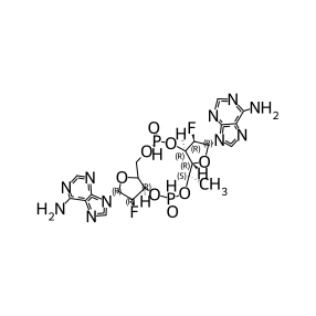 C[C@@H]1O[PH](=O)O[C@@H]2C(CO[PH](=O)O[C@H]3[C@@H](F)[C@H](n4cnc5c(N)ncnc54)O[C@@H]31)O[C@@H](n1cnc3c(N)ncnc31)[C@@H]2F